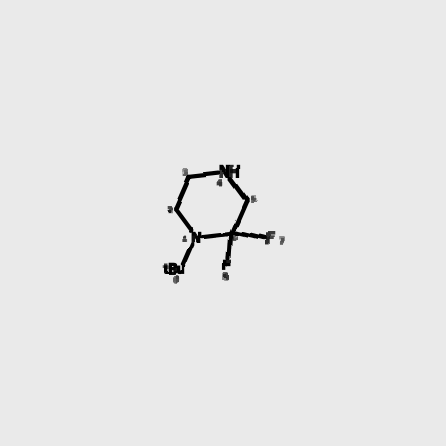 CC(C)(C)N1CCNCC1(F)F